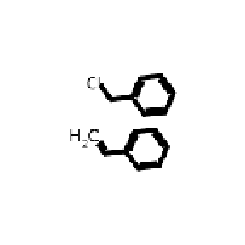 C=Cc1ccccc1.ClCc1ccccc1